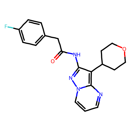 O=C(Cc1ccc(F)cc1)Nc1nn2cccnc2c1C1CCOCC1